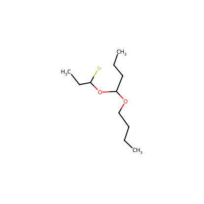 CCCCOC(CCC)OC([S])CC